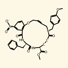 COC(=O)[C@@H]1CCC(=O)N(Cc2ccc(OC)cc2)C/C=C/COc2ccc([N+](=O)[O-])cc2C(=O)N[C@H](Cc2ccccc2)C(=O)N1